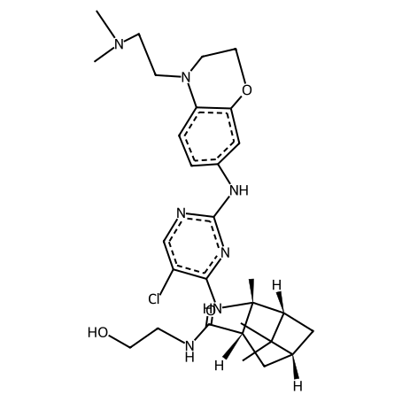 CN(C)CCN1CCOc2cc(Nc3ncc(Cl)c(N[C@@]4(C)[C@@H](C(=O)NCCO)C[C@H]5C[C@@H]4C5(C)C)n3)ccc21